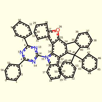 c1ccc(-c2nc(-c3ccccc3)nc(-n3c4ccccc4c4c5c(c6oc7ccccc7c6c43)-c3ccccc3C5(c3ccccc3)c3ccccc3)n2)cc1